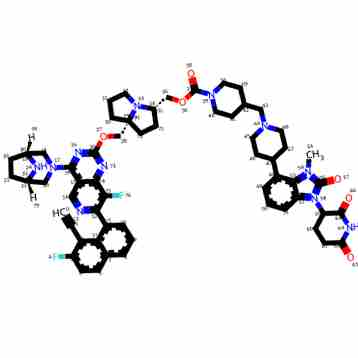 C#Cc1c(F)ccc2cccc(-c3ncc4c(N5C[C@H]6CC[C@@H](C5)N6)nc(OC[C@]56CCCN5[C@H](COC(=O)N5CCC(CN7CCC(c8cccc9c8n(C)c(=O)n9C8CCC(=O)NC8=O)CC7)CC5)CC6)nc4c3F)c12